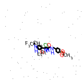 CCOc1cc(N[C@H](C)C(F)(F)F)ccc1-c1c(Cl)c(C(=O)NCC2CCC(S(C)(=O)=O)CC2)nn1CC